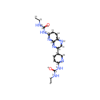 CCNC(=O)Nc1ccc(-c2cnc3ccc(NC(=O)NCC)nc3n2)cn1